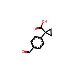 O=Cc1ccc(C2(C(=O)O)CC2)cc1